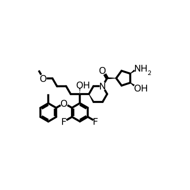 COCCCC[C@](O)(c1cc(F)cc(F)c1Oc1ccccc1C)[C@@H]1CCCN(C(=O)[C@H]2C[C@@H](N)[C@@H](O)C2)C1